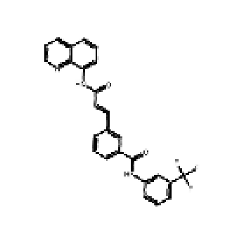 O=C(C=Cc1cccc(C(=O)Nc2cccc(C(F)(F)F)c2)c1)Nc1cccc2cccnc12